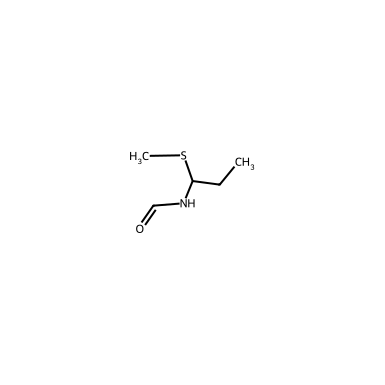 CCC(NC=O)SC